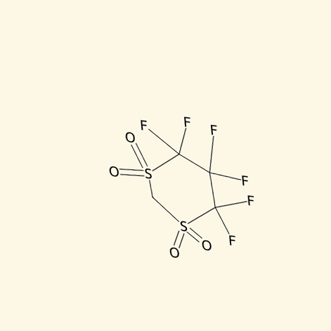 O=S1(=O)CS(=O)(=O)C(F)(F)C(F)(F)C1(F)F